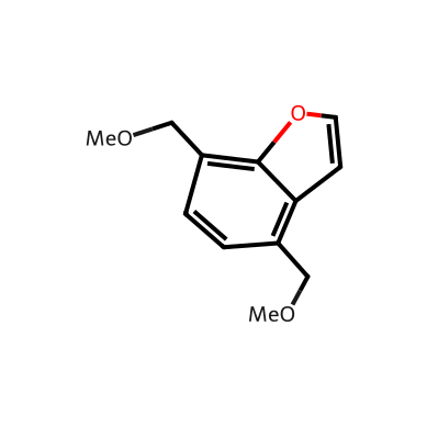 COCc1ccc(COC)c2occc12